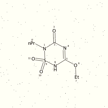 CCCN1C(=O)N=C(OCC)NS1(=O)=O